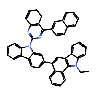 CCn1c2ccccc2c2cc(-c3ccc4c5ccccc5n(-c5nc6c(c(-c7ccc8ccccc8c7)n5)CCC=C6)c4c3)c3ccccc3c21